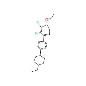 CCOC1CC=C(c2ccc(C3CCC(CC)CC3)cc2)C(F)=C1F